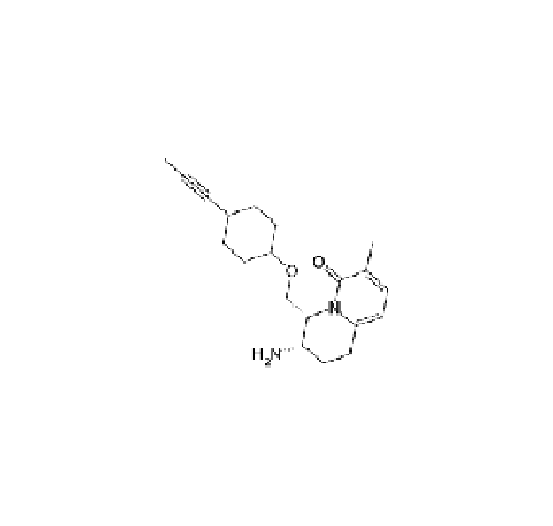 CC#CC1CCC(OC[C@H]2[C@@H](N)CCc3ccc(C)c(=O)n32)CC1